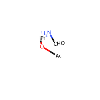 CC(=O)OC(C)C.NC=O